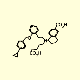 O=C(O)CCCCN(CCc1ccccc1OCc1ccc(C2CC2)cc1)C1CCCc2cc(C(=O)O)ccc21